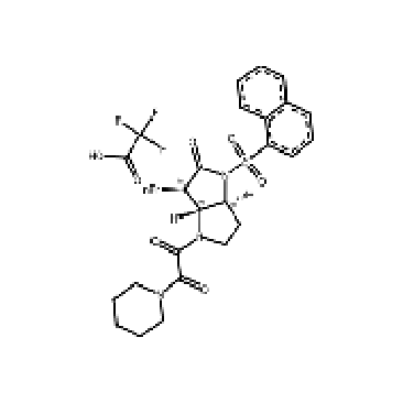 CCC[C@H]1C(=O)N(S(=O)(=O)c2cccc3ccccc23)[C@H]2CCN(C(=O)C(=O)N3CCCCC3)[C@H]12.O=C(O)C(F)(F)F